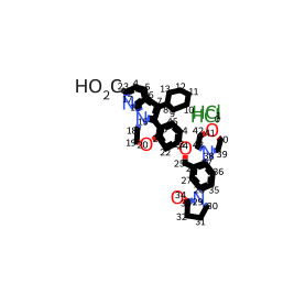 Cl.Cl.O=C(O)c1ccc2c(C3CCCCC3)c3n(c2n1)CCOc1cc(OCc2cc(N4CCCC4=O)ccc2N2CCOCC2)ccc1-3